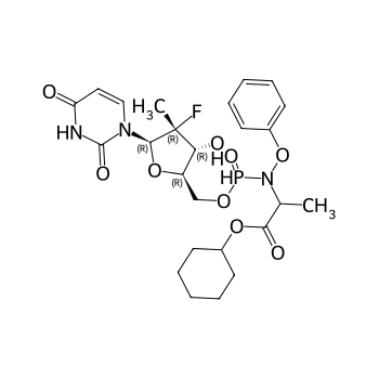 CC(C(=O)OC1CCCCC1)N(Oc1ccccc1)[PH](=O)OC[C@H]1O[C@@H](n2ccc(=O)[nH]c2=O)[C@](C)(F)[C@@H]1O